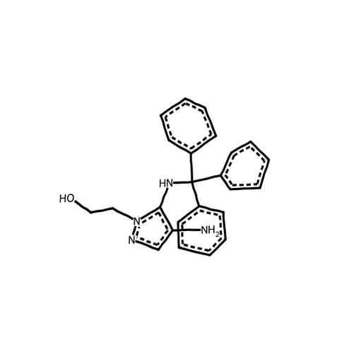 Nc1cnn(CCO)c1NC(c1ccccc1)(c1ccccc1)c1ccccc1